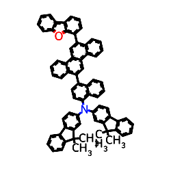 CC1(C)c2ccccc2-c2ccc(N(c3ccc4c(c3)C(C)(C)c3ccccc3-4)c3ccc(-c4cc5c6ccccc6c(-c6cccc7c6oc6ccccc67)cc5c5ccccc45)c4ccccc34)cc21